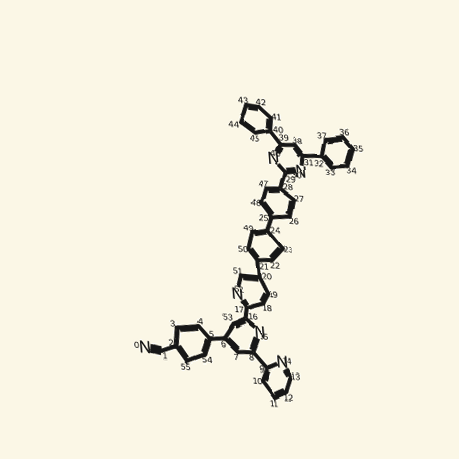 N#Cc1ccc(-c2cc(-c3ccccn3)nc(-c3ccc(-c4ccc(-c5ccc(-c6nc(-c7ccccc7)cc(-c7ccccc7)n6)cc5)cc4)cn3)c2)cc1